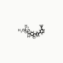 CC(C)OC(=O)Nc1ccc(-c2cc(-c3ccnc(C4CC4)c3)cs2)c(Cl)c1